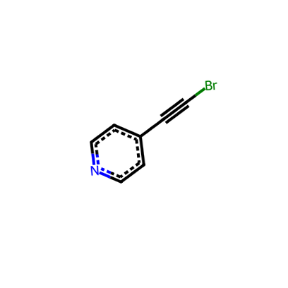 BrC#Cc1ccncc1